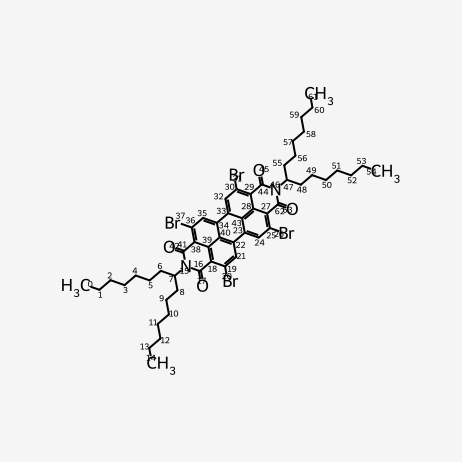 CCCCCCCC(CCCCCCC)N1C(=O)c2c(Br)cc3c4cc(Br)c5c6c(c(Br)cc(c7cc(Br)c(c2c37)C1=O)c64)C(=O)N(C(CCCCCCC)CCCCCCC)C5=O